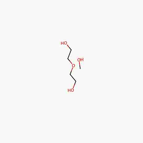 CO.OCCOCCO